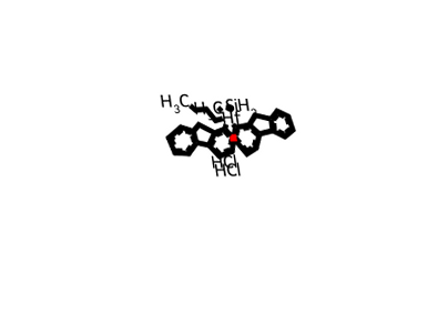 CCC[CH2][Hf]([CH3])(=[SiH2])([c]1cccc2c1Cc1ccccc1-2)[c]1cccc2c1Cc1ccccc1-2.Cl.Cl